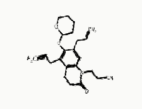 C=CCc1cc2c(c(CC=C)c1OC1CCCCO1)CCC(=O)N2CCC#N